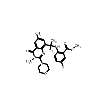 COC(=O)c1cc(F)ccc1NC(C)(C)c1cc(C)cc2c(=O)n(C)c(N3CCOCC3)nc12